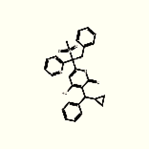 CS(=O)(=O)C(Cc1ccccc1)(c1ccccn1)c1cc(O)c(C(c2ccccc2)C2CC2)c(=O)o1